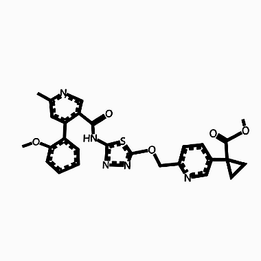 COC(=O)C1(c2ccc(COc3nnc(NC(=O)c4cnc(C)cc4-c4ccccc4OC)s3)nc2)CC1